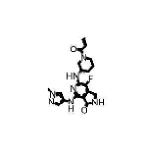 C=CC(=O)N1CCC[C@@H](Nc2nc(Nc3cnn(C)c3)c3c(c2F)CNC3=O)C1